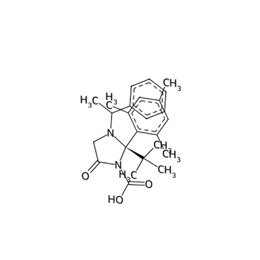 Cc1cc(C)c([C@]2(C(C)(C)C)N(C(=O)O)C(=O)CN2C(C)c2ccccc2)c(C)c1